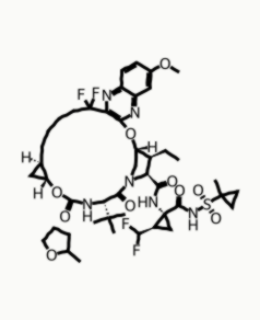 CC1CCCO1.CC[C@@H]1[C@@H]2CN(C(=O)[C@H](C(C)(C)C)NC(=O)O[C@@H]3C[C@H]3CCCCC(F)(F)c3nc4ccc(OC)cc4nc3O2)[C@@H]1C(=O)N[C@]1(C(=O)NS(=O)(=O)C2(C)CC2)C[C@H]1C(F)F